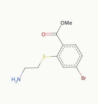 COC(=O)c1ccc(Br)cc1SCCN